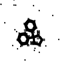 c1ccc(C2(c3ccccc3)NCCN2)cc1